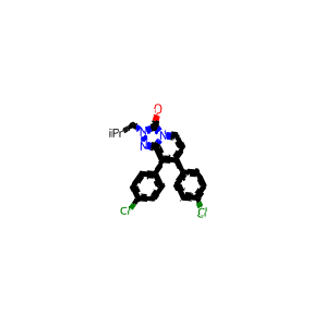 CC(C)Cn1nc2c(-c3ccc(Cl)cc3)c(-c3ccc(Cl)cc3)ccn2c1=O